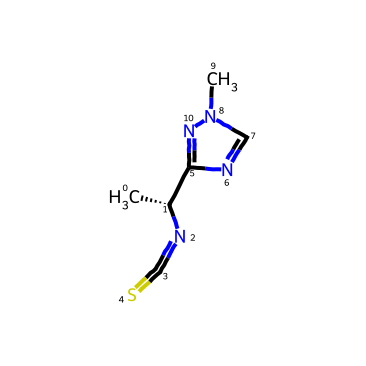 C[C@@H](N=C=S)c1ncn(C)n1